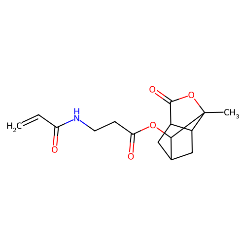 C=CC(=O)NCCC(=O)OC1C2CC3C(=O)OC1(C)C3C2